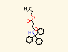 C=CCOC(=O)CCC(=O)NC(c1ccccc1)(c1ccccc1)c1ccccc1